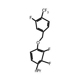 CCCc1ccc(OCc2ccc(C(F)(F)F)c(F)c2)c(F)c1F